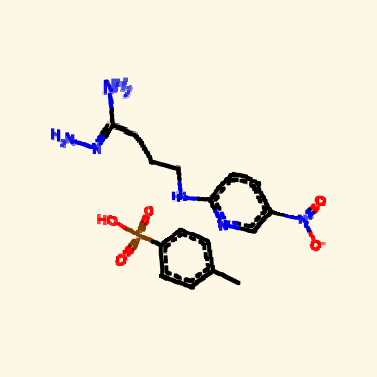 Cc1ccc(S(=O)(=O)O)cc1.NN=C(N)CCCNc1ccc([N+](=O)[O-])cn1